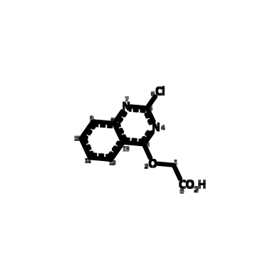 O=C(O)COc1nc(Cl)nc2ccccc12